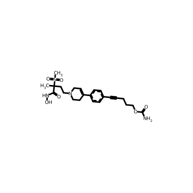 CC(CCN1CC=C(c2ccc(C#CCCCOC(N)=O)cc2)CC1)(C(=O)NO)S(C)(=O)=O